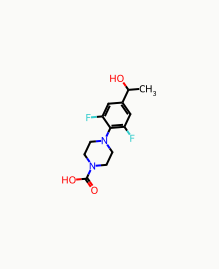 CC(O)c1cc(F)c(N2CCN(C(=O)O)CC2)c(F)c1